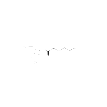 CCCCOP(=O)(OCCCC)OC(=O)CCCCC(=O)O